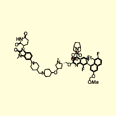 CCc1c(F)ccc2cc(OCOC)cc(-c3ncc4c(N5CC6CCC(C5)N6C(=O)OC(C)(C)C)nc(OC[C@@H]5C[C@@H](OC6CCN(CC7CCN(c8ccc9c(c8)n(C)c(=O)n9C8CCC(=O)NC8=O)CC7)CC6)CN5C)nc4c3F)c12